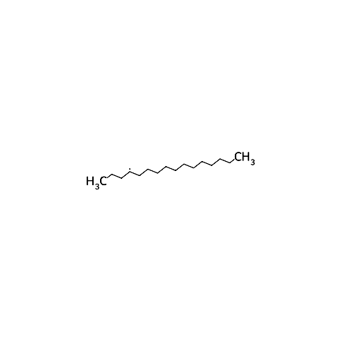 CCC[CH]CCCCCCCCCCCC